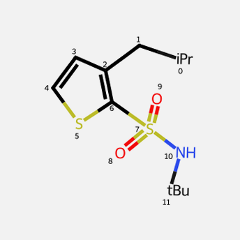 CC(C)Cc1ccsc1S(=O)(=O)NC(C)(C)C